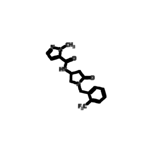 Cn1nccc1C(=O)NC1CC(=O)N(Cc2ccccc2C(F)(F)F)C1